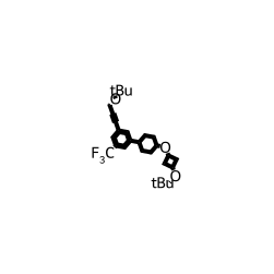 CC(C)(C)OCC#Cc1cc(C2CCC(OC3CC(OC(C)(C)C)C3)CC2)cc(C(F)(F)F)c1